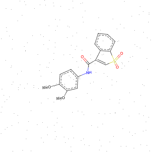 COc1ccc(NC(=O)C2=CS(=O)(=O)c3ccccc32)cc1OC